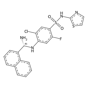 N[C@H](Nc1cc(F)c(S(=O)(=O)Nc2nccs2)cc1Cl)c1cccc2ccccc12